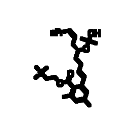 CCC/C=C\C[C@H](CC/C=C/c1cc(C)cc(C)c1C(=O)OCC[Si](C)(C)C)OC(C)(C)O